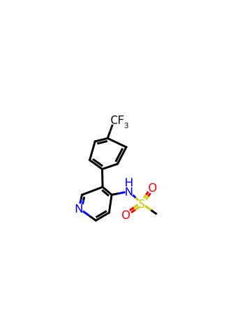 CS(=O)(=O)Nc1ccncc1-c1ccc(C(F)(F)F)cc1